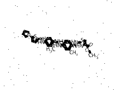 CCOC(=O)c1csc(NNc2ccc(NNc3ccc(NNc4ccc(N5CCCC5)s4)cc3C)cc2C)n1